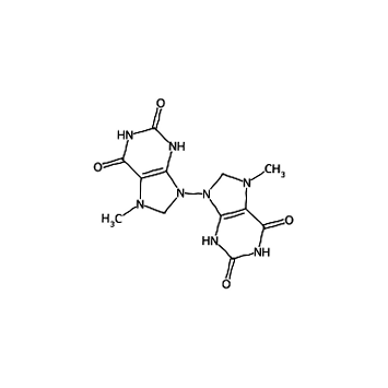 CN1CN(N2CN(C)c3c2[nH]c(=O)[nH]c3=O)c2[nH]c(=O)[nH]c(=O)c21